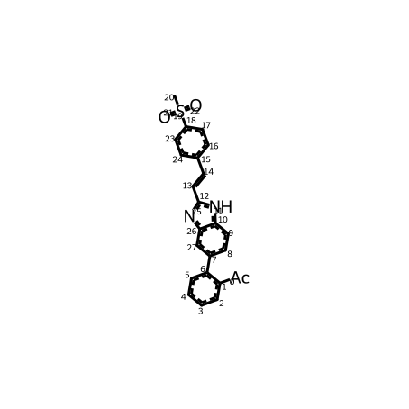 CC(=O)c1ccccc1-c1ccc2[nH]c(C=Cc3ccc(S(C)(=O)=O)cc3)nc2c1